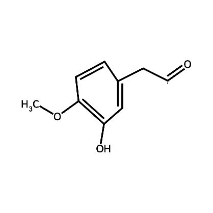 COc1ccc(C[C]=O)cc1O